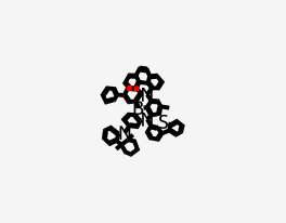 Cc1cc2c3c(c1)N(c1cccc4c#cc5ccccc5c14)c1ccc(-c4ccccc4)cc1B3c1ccc(N3c4ccccc4C4(C)CCCCC34C)cc1N2c1cccc2c1sc1ccccc12